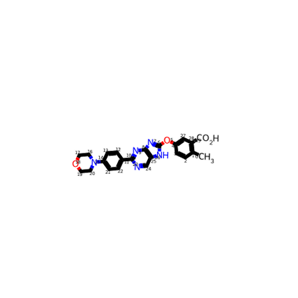 Cc1ccc(Oc2nc3nc(-c4ccc(N5CCOCC5)cc4)ncc3[nH]2)cc1C(=O)O